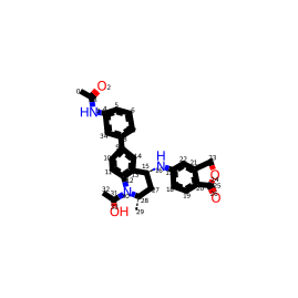 CC(=O)Nc1cccc(-c2ccc3c(c2)[C@H](Nc2ccc4c(c2)COC4=O)C[C@H](C)N3C(C)O)c1